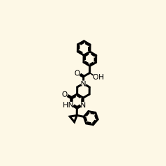 O=C([C@H](O)c1ccc2ccccc2c1)N1CCc2nc(C3(c4ccccc4)CC3)[nH]c(=O)c2C1